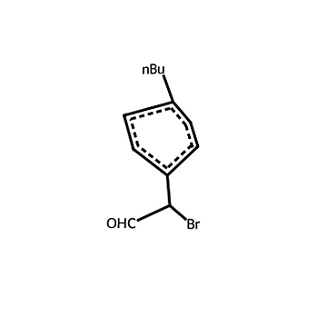 CCCCc1ccc(C(Br)C=O)cc1